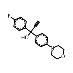 C#CC(O)(c1ccc(F)cc1)c1ccc(N2CCOCC2)cc1